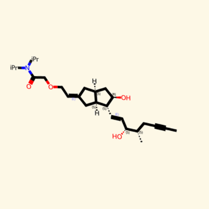 CC#CC[C@H](C)[C@H](O)/C=C/[C@@H]1[C@H]2C/C(=C/COCC(=O)N(C(C)C)C(C)C)C[C@H]2C[C@H]1O